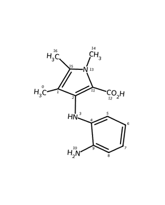 Cc1c(Nc2ccccc2N)c(C(=O)O)n(C)c1C